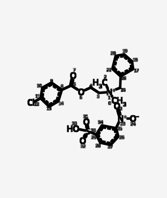 C[N+](C)(CCOC(=O)c1ccc(Cl)cc1)Cc1ccccc1.O=[N+]([O-])c1cccc(S(=O)(=O)O)c1